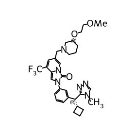 COCCO[C@@H]1CCCN(Cc2cc(C(F)(F)F)c3cn(-c4cccc([C@H](c5nncn5C)C5CCC5)c4)c(=O)n3c2)C1